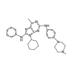 Cc1nc(Nc2ccc(N3CCN(C)CC3)cc2)nc2c1nc(Nc1ccccc1)n2C1CCCCC1